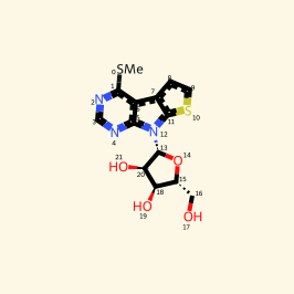 CSc1ncnc2c1c1ccsc1n2[C@@H]1O[C@H](CO)[C@@H](O)[C@H]1O